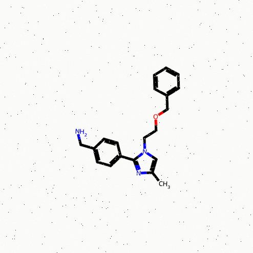 Cc1cn(CCOCc2ccccc2)c(-c2ccc(CN)cc2)n1